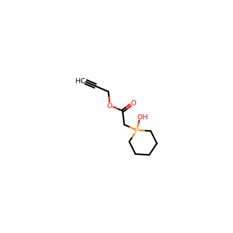 C#CCOC(=O)C[P]1(O)CCCCC1